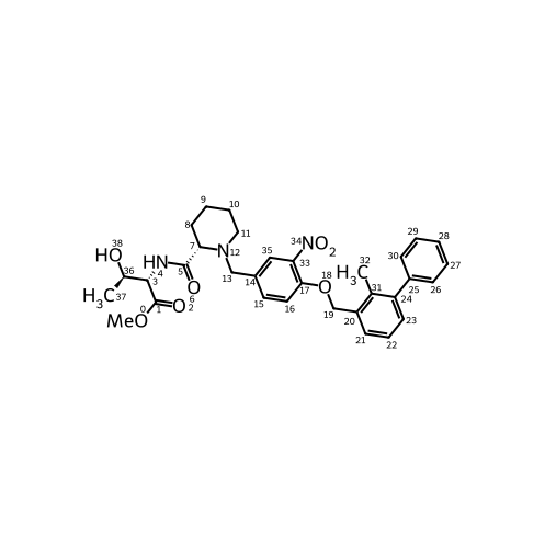 COC(=O)[C@@H](NC(=O)[C@@H]1CCCCN1Cc1ccc(OCc2cccc(-c3ccccc3)c2C)c([N+](=O)[O-])c1)[C@@H](C)O